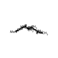 CC#CCNC(=O)NCCCCOC(C)SSC(C)(C)CCOC(=O)NCCOCCOCCNC